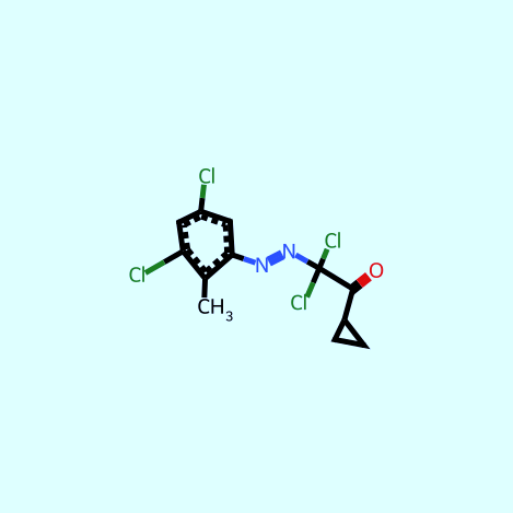 Cc1c(Cl)cc(Cl)cc1N=NC(Cl)(Cl)C(=O)C1CC1